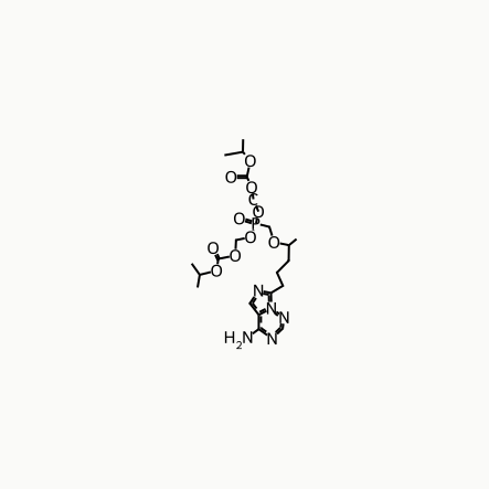 CC(C)OC(=O)OCOP(=O)(COC(C)CCCc1ncc2c(N)ncnn12)OCOC(=O)OC(C)C